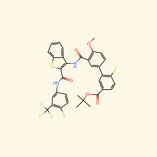 COc1ccc(-c2cc(C(=O)OC(C)(C)C)ccc2F)cc1C(=O)Nc1c(C(=O)Nc2ccc(F)c(C(F)(F)F)c2)sc2ccccc12